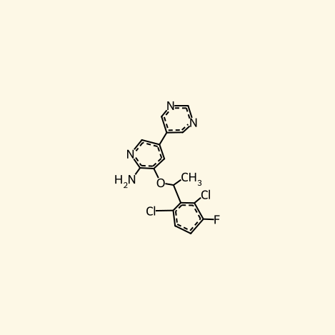 CC(Oc1cc(-c2cncnc2)cnc1N)c1c(Cl)ccc(F)c1Cl